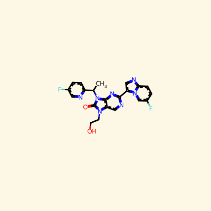 CC(c1ccc(F)cn1)n1c(=O)n(CCO)c2cnc(-c3cnc4ccc(F)cn34)nc21